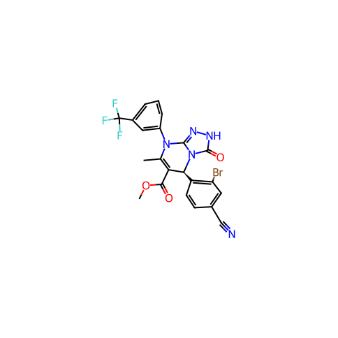 COC(=O)C1=C(C)N(c2cccc(C(F)(F)F)c2)c2n[nH]c(=O)n2[C@H]1c1ccc(C#N)cc1Br